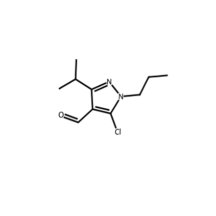 CCCn1nc(C(C)C)c(C=O)c1Cl